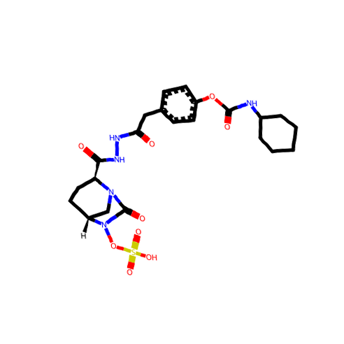 O=C(Cc1ccc(OC(=O)NC2CCCCC2)cc1)NNC(=O)[C@@H]1CC[C@@H]2CN1C(=O)N2OS(=O)(=O)O